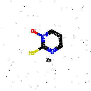 [O-][n+]1cccnc1S.[Zn]